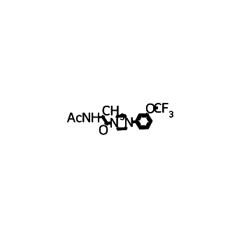 CC(=O)N[C@@H](C)C(=O)N1CCN(c2cccc(OC(F)(F)F)c2)CC1